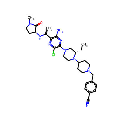 C=C(N[C@H]1CCN(C)C1=O)c1nc(Cl)c(N2CCN(C3CCN(Cc4ccc(C#N)cc4)CC3)[C@@H](CC)C2)nc1N